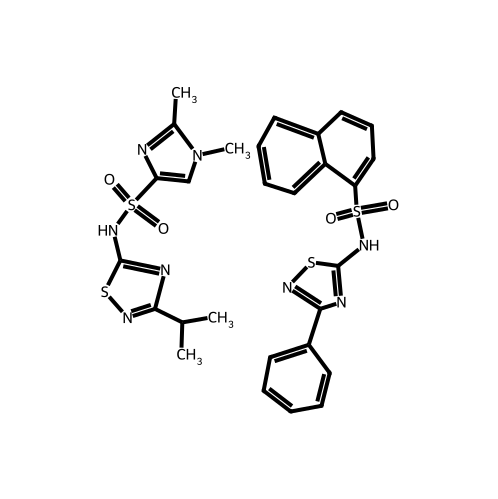 Cc1nc(S(=O)(=O)Nc2nc(C(C)C)ns2)cn1C.O=S(=O)(Nc1nc(-c2ccccc2)ns1)c1cccc2ccccc12